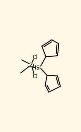 [CH3][Zr]([CH3])([Cl])([Cl])[SiH](C1C=CC=C1)C1C=CC=C1